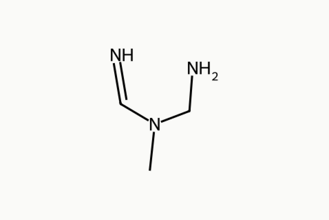 CN(C=N)CN